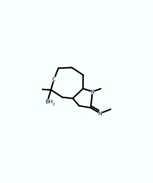 BC1(C)CCCCC2C(C/C(=N/C)N2C)C1